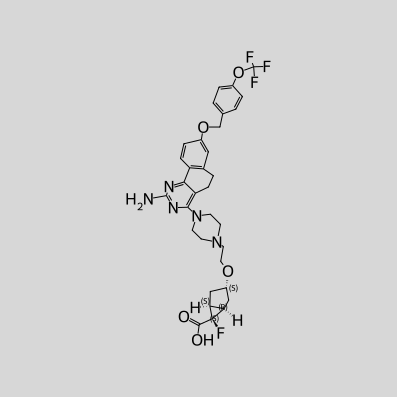 Nc1nc2c(c(N3CCN(CCO[C@@H]4C[C@@H]5[C@H](C4)[C@@]5(F)C(=O)O)CC3)n1)CCc1cc(OCc3ccc(OC(F)(F)F)cc3)ccc1-2